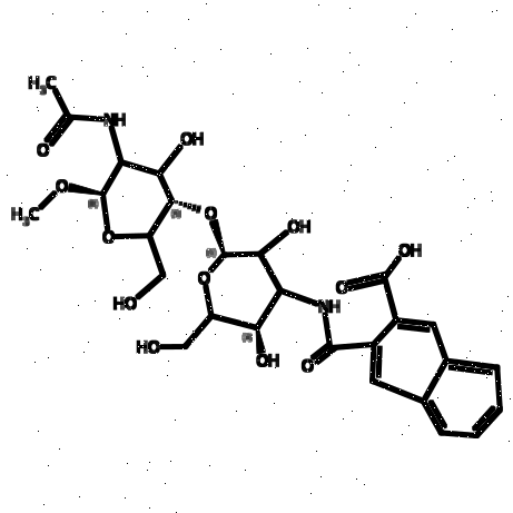 CO[C@@H]1OC(CO)[C@@H](O[C@@H]2OC(CO)[C@H](O)C(NC(=O)c3cc4ccccc4cc3C(=O)O)C2O)C(O)C1NC(C)=O